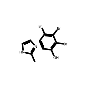 Cc1ncc[nH]1.Oc1ccc(Br)c(Br)c1Br